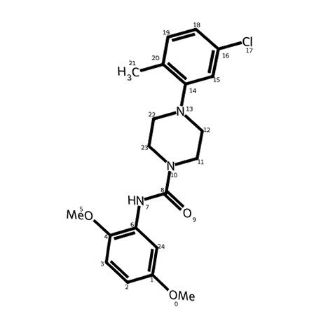 COc1ccc(OC)c(NC(=O)N2CCN(c3cc(Cl)ccc3C)CC2)c1